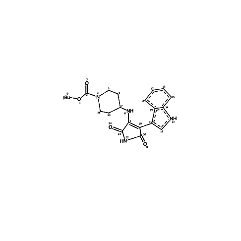 CC(C)(C)OC(=O)N1CCC(NC2=C(c3c[nH]c4ccccc34)C(=O)NC2=O)CC1